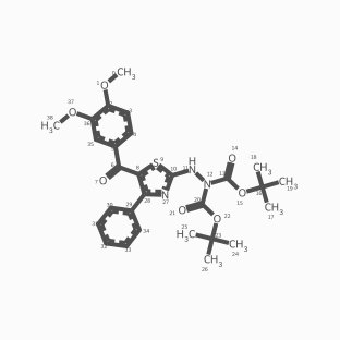 COc1ccc(C(=O)c2sc(NN(C(=O)OC(C)(C)C)C(=O)OC(C)(C)C)nc2-c2ccccc2)cc1OC